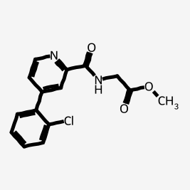 COC(=O)CNC(=O)c1cc(-c2ccccc2Cl)ccn1